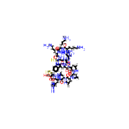 CC(C)C[C@H](NC(=O)[C@H](CC(C)C)NC(=O)[C@H](CC(C)C)NC(=O)[C@H](CC(C)C)NC(=O)[C@H](Cc1c[nH]c2ccccc12)NC(=O)[C@H](Cc1c[nH]cn1)NC(=O)[C@H](CS)NC(=O)[C@H](CCCCN)NC(=O)[C@H](CCCCN)NC(=O)[C@@H](N)CCCCN)C(=O)N[C@@H](Cc1c[nH]cn1)C(=O)N[C@@H](CS)C(=O)O